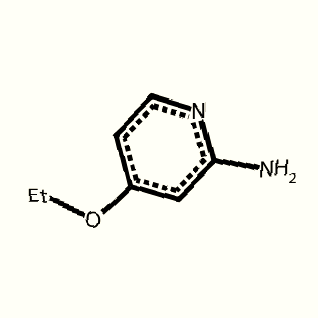 CCOc1ccnc(N)c1